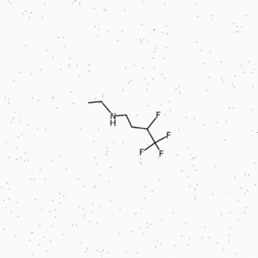 CCNCCC(F)C(F)(F)F